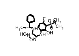 CC[C@@H](Nc1c(Nc2ccc(Cl)c(S(=O)(=O)N(C)C)c2O)no[n+]1O)c1ccccc1